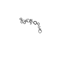 COC(=O)CC(=O)N1CCc2nc(-c3ccc(O[C@H]4C[C@H](N5CCCCC5)C4)cc3)sc2C1